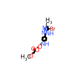 COCCC(=O)OCOCNc1ccc(-c2nn3nc(C)c(Br)c3[nH]2)cc1